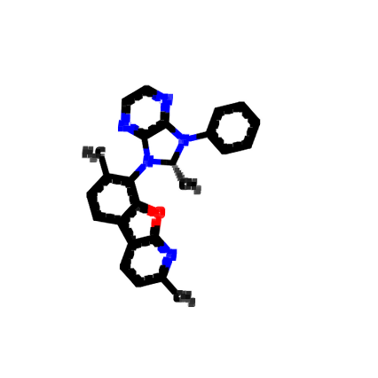 Cc1ccc2c(n1)oc1c(N3c4nccnc4N(c4ccccc4)[C@@H]3C)c(C)ccc12